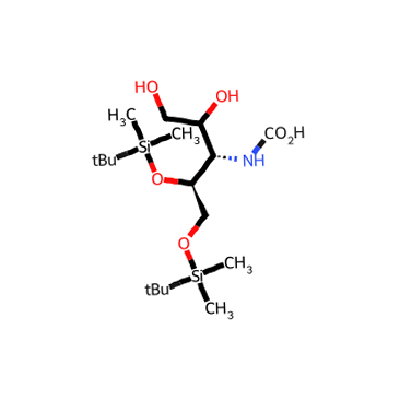 CC(C)(C)[Si](C)(C)OC[C@@H](O[Si](C)(C)C(C)(C)C)[C@@H](NC(=O)O)C(O)CO